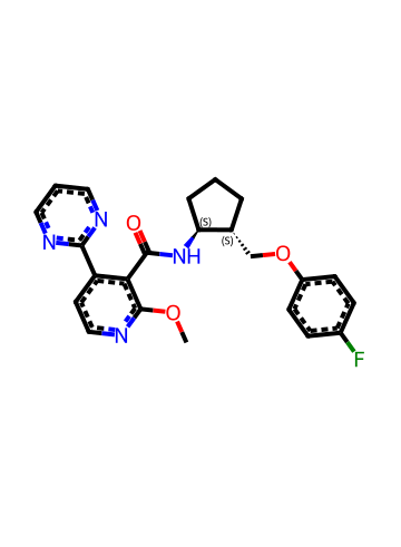 COc1nccc(-c2ncccn2)c1C(=O)N[C@H]1CCC[C@@H]1COc1ccc(F)cc1